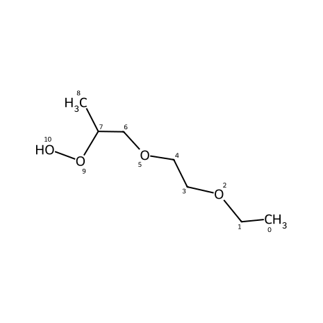 CCOCCOCC(C)OO